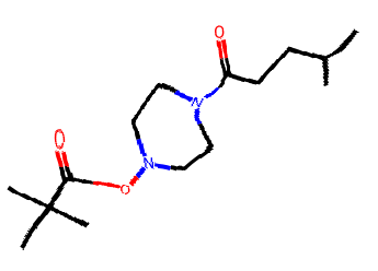 CC(C)CCC(=O)N1CCN(OC(=O)C(C)(C)C)CC1